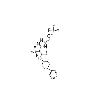 FC(F)(F)COCc1nnc2c(C(F)(F)F)c(OC3CCC(c4ccccc4)CC3)ccn12